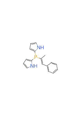 CC(=Cc1ccccc1)P(c1ccc[nH]1)c1ccc[nH]1